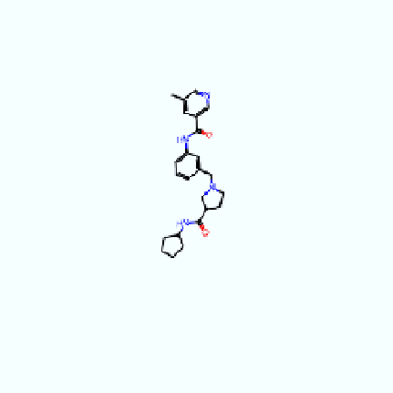 Cc1cncc(C(=O)Nc2cccc(CN3CCC(C(=O)NC4CCCC4)C3)c2)c1